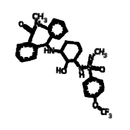 CN=S(=O)(NC1CCCC(NC2c3ccccc3C(=O)N(C)c3ccccc32)C1O)c1ccc(OC(F)(F)F)cc1